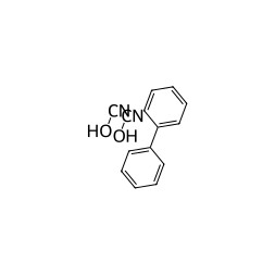 N#CO.N#CO.c1ccc(-c2ccccc2)cc1